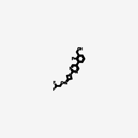 OCc1cccc(-c2cnc(N3CC(=NOCC(F)F)C3)nc2)c1F